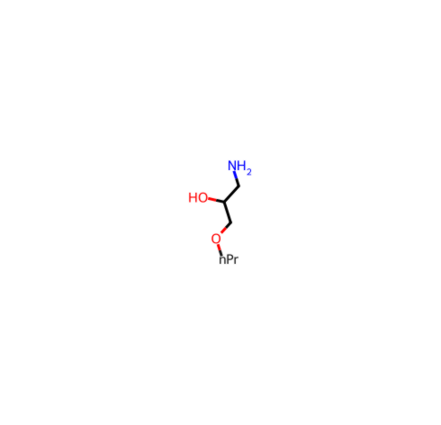 CCCOCC(O)CN